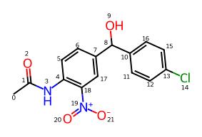 CC(=O)Nc1ccc(C(O)c2ccc(Cl)cc2)cc1[N+](=O)[O-]